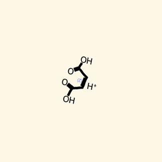 O=C(O)/C=C\C(=O)O.[H+]